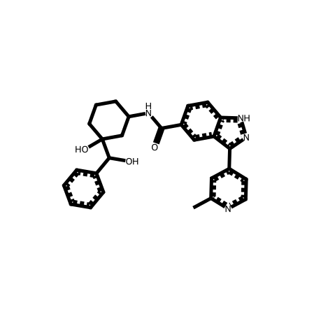 Cc1cc(-c2n[nH]c3ccc(C(=O)NC4CCCC(O)(C(O)c5ccccc5)C4)cc23)ccn1